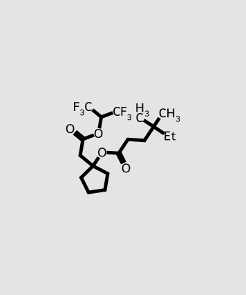 CCC(C)(C)CCC(=O)OC1(CC(=O)OC(C(F)(F)F)C(F)(F)F)CCCC1